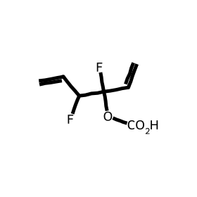 C=CC(F)C(F)(C=C)OC(=O)O